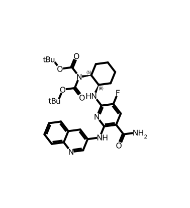 CC(C)(C)OC(=O)N(C(=O)OC(C)(C)C)[C@H]1CCCC[C@H]1Nc1nc(Nc2cnc3ccccc3c2)c(C(N)=O)cc1F